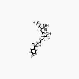 CCC[C@H](NC(=O)O[C@@H](CCCCNC(=O)c1ccc(F)cc1)C(=O)O)C(=O)O